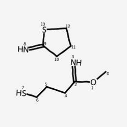 COC(=N)CCCS.N=C1CCCS1